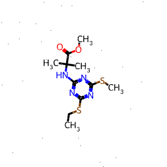 CCSc1nc(NC(C)(C)C(=O)OC)nc(SC)n1